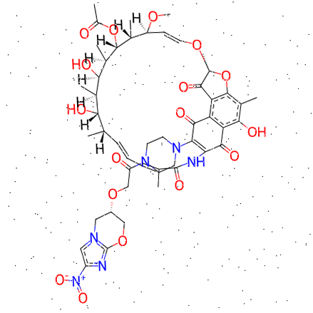 CO[C@H]1/C=C/O[C@@]2(C)Oc3c(C)c(O)c4c(c3C2=O)C(=O)C(N2CCN(C(=O)CO[C@@H]3COc5nc([N+](=O)[O-])cn5C3)CC2)=C(NC(=O)/C(C)=C\C=C\[C@H](C)[C@H](O)[C@@H](C)[C@@H](O)[C@@H](C)[C@H](OC(C)=O)[C@@H]1C)C4=O